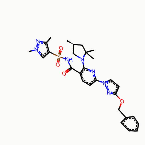 Cc1nn(C)cc1S(=O)(=O)NC(=O)c1ccc(-n2ccc(OCc3ccccc3)n2)nc1N1C[C@@H](C)CC1(C)C